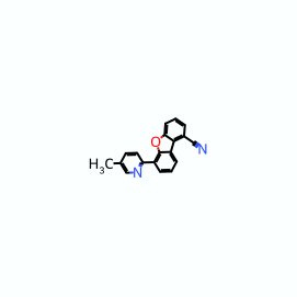 Cc1ccc(-c2cccc3c2oc2cccc(C#N)c23)nc1